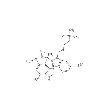 COc1cc(C)c2[nH]ccc2c1C(C)(OC)c1nc2ccc(C#N)cc2n1COCC[Si](C)(C)C